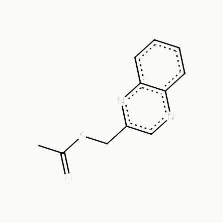 CC(=O)SCc1cnc2ccccc2n1